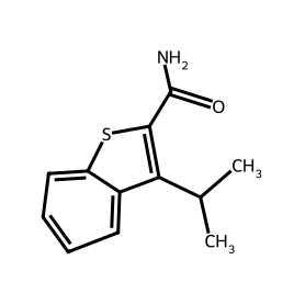 CC(C)c1c(C(N)=O)sc2ccccc12